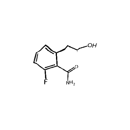 NC(=O)c1c(F)cccc1C[CH]O